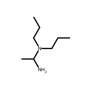 [CH2]C(N)N(CCC)CCC